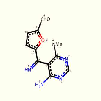 CNc1ncnc(N)c1C(=N)c1ccc(C=O)o1